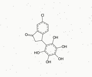 O=C1CC(c2c(O)c(O)c(O)c(O)c2O)c2ccc(Cl)cc21